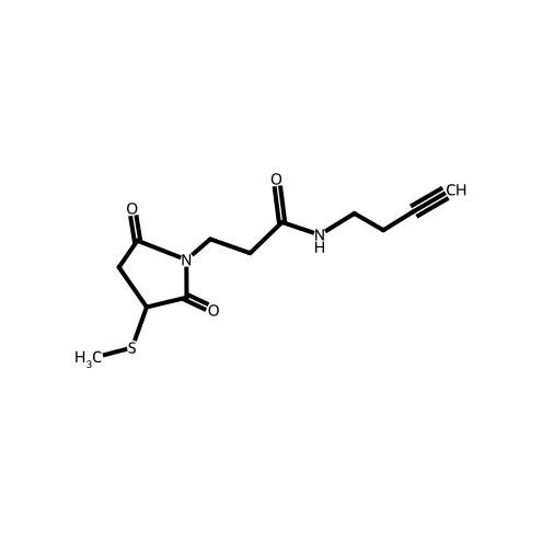 C#CCCNC(=O)CCN1C(=O)CC(SC)C1=O